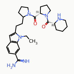 CCn1c(CCC2CCCN2C(=O)[C@@H]2CCCN2C(=O)[C@H]2CCCCN2)cc2ccc(C(=N)N)cc21